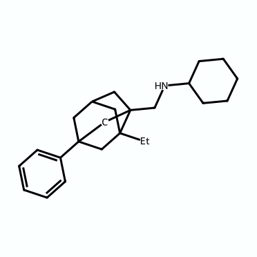 CCC12CC3CC(c4ccccc4)(C1)CC2(CNC1CCCCC1)C3